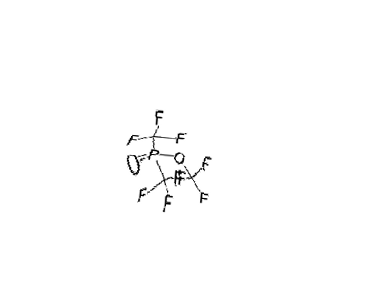 O=P(OC(F)(F)F)(C(F)(F)F)C(F)(F)F